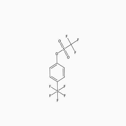 O=S(=O)(Oc1ccc(S(F)(F)(F)(F)F)cc1)C(F)(F)F